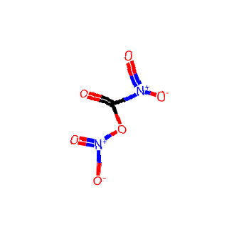 O=C(O[N+](=O)[O-])[N+](=O)[O-]